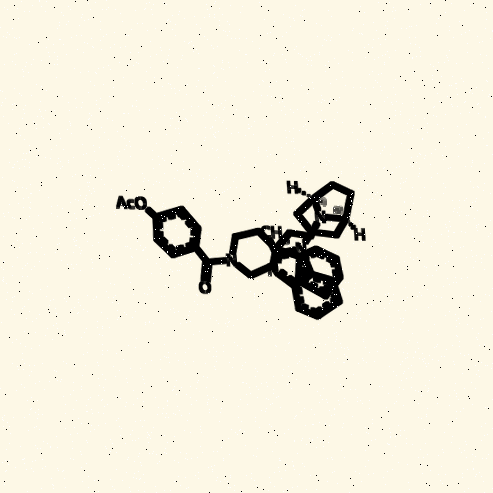 CC(=O)Oc1ccc(C(=O)N2CCC(CCN3[C@@H]4CC[C@H]3CC(n3c(C)nc5ccccc53)C4)(c3ccccc3)CC2)cc1